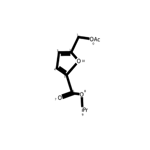 CC(=O)OCc1ccc(C(=O)OC(C)C)o1